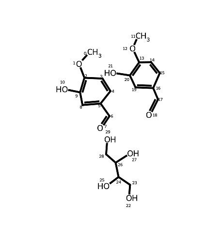 COc1ccc(C=O)cc1O.COc1ccc(C=O)cc1O.OCC(O)C(O)CO